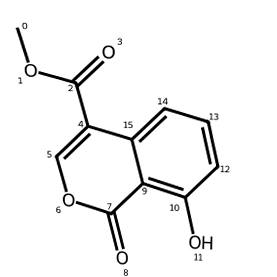 COC(=O)c1coc(=O)c2c(O)cccc12